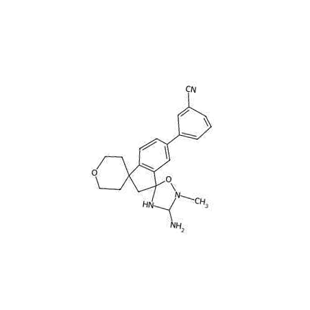 CN1OC2(CC3(CCOCC3)c3ccc(-c4cccc(C#N)c4)cc32)NC1N